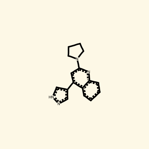 c1ccc2c(-c3cn[nH]c3)cc(N3CCCC3)nc2c1